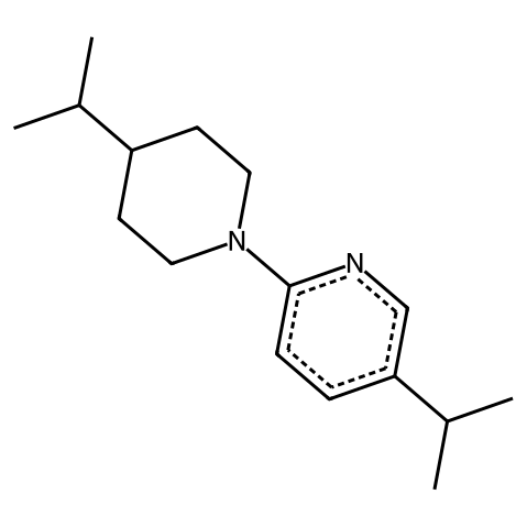 CC(C)c1ccc(N2CCC(C(C)C)CC2)nc1